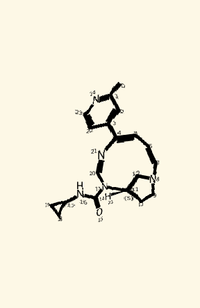 Cc1cc(C2=CC=CN3CC[C@@H](C3)N(C(=O)NC3CC3)C=N2)ccn1